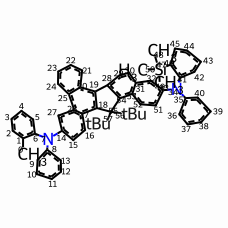 Cc1ccccc1N(c1ccccc1)c1ccc2c3c(c4ccccc4c2c1)-c1ccc2cc(N(c4ccccc4)c4ccccc4[Si](C)(C)C)ccc2c1C3(C(C)(C)C)C(C)(C)C